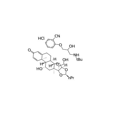 CC(C)(C)NCC(O)COc1ccccc1C#N.CCC[C@@H]1O[C@@H]2C[C@H]3[C@@H]4CCC5=CC(=O)C=C[C@]5(C)[C@H]4[C@@H](O)C[C@]3(C)[C@]2(C(=O)CO)O1.Cl